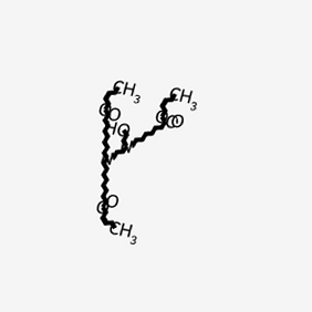 CC/C=C\COC(=O)CCCCCCCN(CCCCCCCC(=O)OC/C=C\CC)CCCN(CCO)CCCCCCCC(=C=O)OC/C=C\CC